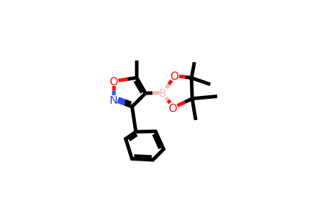 Cc1onc(-c2ccccc2)c1B1OC(C)(C)C(C)(C)O1